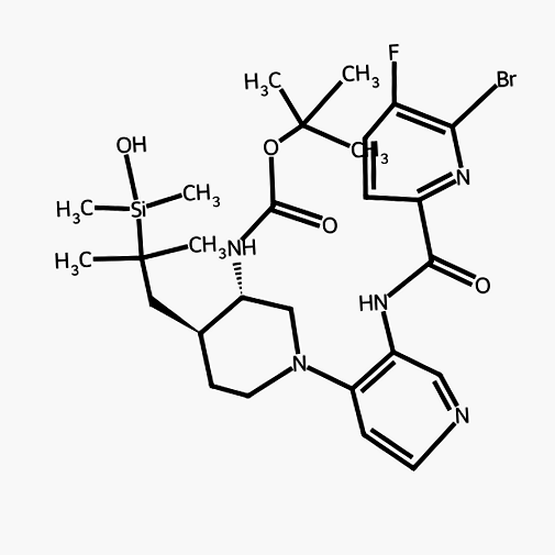 CC(C)(C)OC(=O)N[C@@H]1CN(c2ccncc2NC(=O)c2ccc(F)c(Br)n2)CC[C@H]1CC(C)(C)[Si](C)(C)O